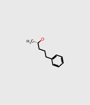 C[C@H]([O])CCCc1ccccc1